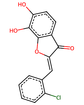 O=C1/C(=C/c2ccccc2Cl)Oc2c1ccc(O)c2O